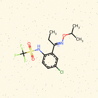 CC/C(=N\OC(C)C)c1cc(Cl)ccc1NS(=O)(=O)C(F)(F)F